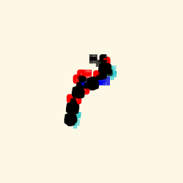 COc1ccc(CC(=O)Nc2ccc(C(=O)N(CC(=O)O)Cc3ccc(OC(=O)c4ccc(-c5cccc(F)c5F)cc4)cc3)cc2)c(C(F)(F)F)c1